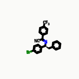 N#C/C(=N\[C@H](Cc1ccccc1)c1ccc(Br)cc1)c1ccc(C(F)(F)F)cc1